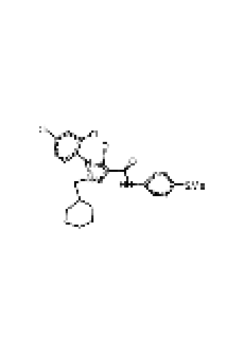 CSc1ccc(NC(=O)c2cn(CC3CCCCC3)n(-c3ccc(Cl)cc3Cl)c2=O)cc1